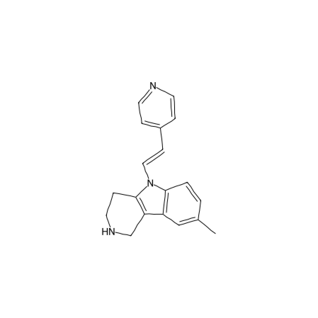 Cc1ccc2c(c1)c1c(n2C=Cc2ccncc2)CCNC1